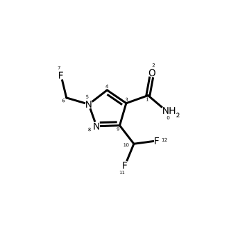 NC(=O)c1cn(CF)nc1C(F)F